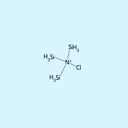 [SiH3][N+]([SiH3])([SiH3])Cl